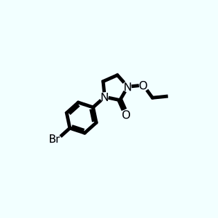 CCON1CCN(c2ccc(Br)cc2)C1=O